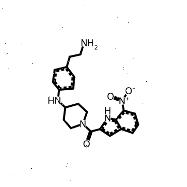 NCCc1ccc(NC2CCN(C(=O)c3cc4cccc([N+](=O)[O-])c4[nH]3)CC2)cc1